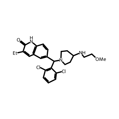 CCc1cc2cc(C(c3c(Cl)cccc3Cl)N3CCC(NCCOC)CC3)ccc2[nH]c1=O